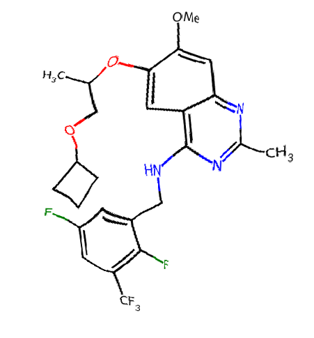 COc1cc2nc(C)nc(NCc3cc(F)cc(C(F)(F)F)c3F)c2cc1OC(C)COC1CCC1